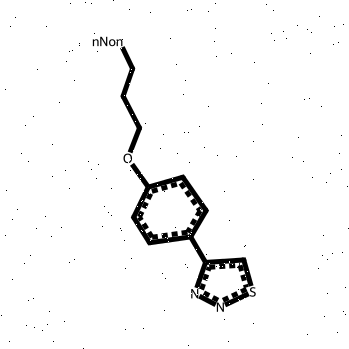 CCCCCCCCCCCCOc1ccc(-c2csnn2)cc1